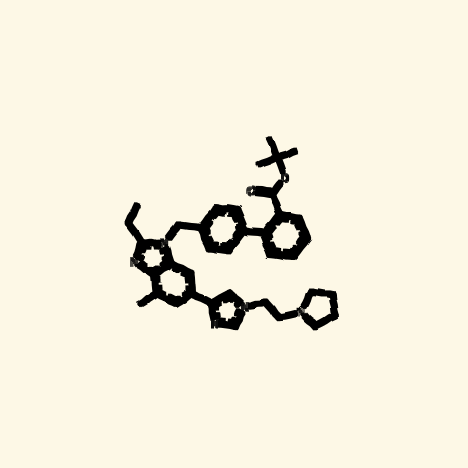 CCc1nc2c(C)cc(-c3cn(CCN4CCCC4)cn3)cc2n1Cc1ccc(-c2ccccc2C(=O)OC(C)(C)C)cc1